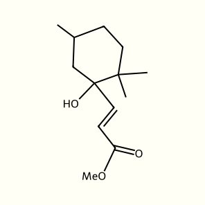 COC(=O)/C=C/C1(O)CC(C)CCC1(C)C